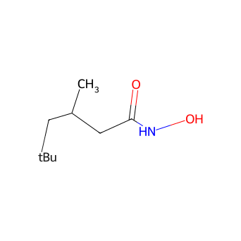 CC(CC(=O)NO)CC(C)(C)C